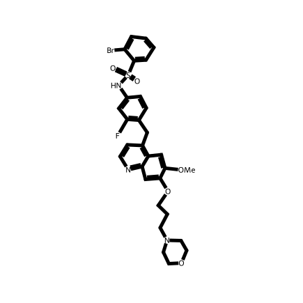 COc1cc2c(Cc3ccc(NS(=O)(=O)c4ccccc4Br)cc3F)ccnc2cc1OCCCN1CCOCC1